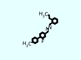 CCCc1ccccc1C=NN=Cc1ccc(-c2ccc(C)cc2)c(F)c1